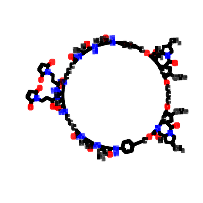 C=C1C[C@H]2CN3C(=O)OCc4ccc(cc4)NC(=O)[C@H](C)NC(=O)[C@H](C(C)C)NC(=O)CCCNC(=O)[C@H](NC(=O)CCN4C(=O)C=CC4=O)[C@H](NC(=O)CCN4C(=O)C=CC4=O)C(=O)NCCCC(=O)N[C@@H](C(C)C)C(=O)N[C@@H](C)C(=O)Nc4ccc(cc4)COC(=O)C4(C)C[C@@H]5CC(=C)CN5C(=O)c5cc(OC)c(cc54)OCCCOc4cc3c(cc4OC)C(=O)N2C1